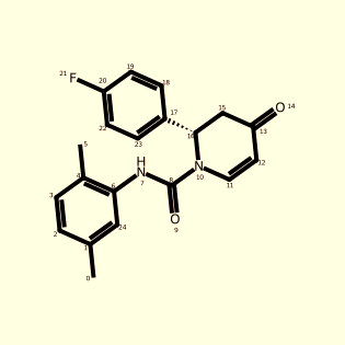 Cc1ccc(C)c(NC(=O)N2C=CC(=O)C[C@H]2c2ccc(F)cc2)c1